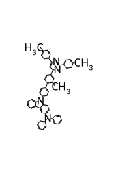 Cc1ccc(-c2cc(-c3ccc(-c4ccc(-n5c6ccccc6c6cc(N(c7ccccc7)c7ccccc7)ccc65)cc4)c(C)c3)nc(-c3ccc(C)cc3)n2)cc1